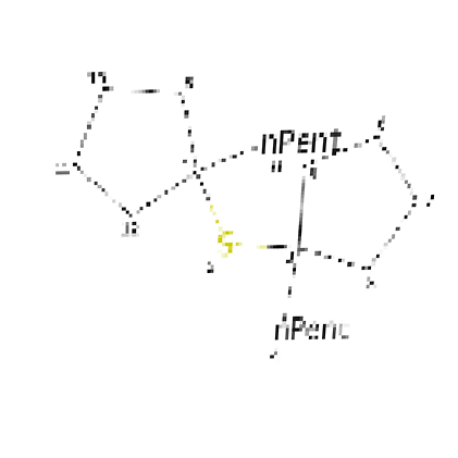 CCCCCC1(SC2(CCCCC)CCCC2)CCCC1